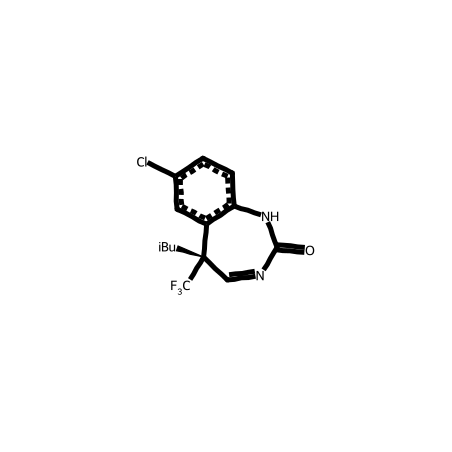 CCC(C)[C@]1(C(F)(F)F)C=NC(=O)Nc2ccc(Cl)cc21